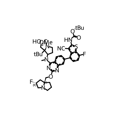 COCC1(C(C)(C)C)C(N(C)c2nc(OC[C@@]34CCCN3C[C@H](F)C4)nc3cc(-c4ccc(F)c5sc(NC(=O)OC(C)(C)C)c(C#N)c45)ccc23)CCN1C(=O)O